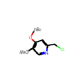 CCCCOc1cc(CCl)ncc1OC